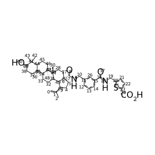 C=C(C)[C@@H]1CC[C@]2(C(=O)NCc3cccc(C(=O)NCc4ccc(C(=O)O)s4)c3)CC[C@]3(C)C(CCC4[C@@]5(C)CC[C@H](O)C(C)(C)C5CC[C@]43C)C12